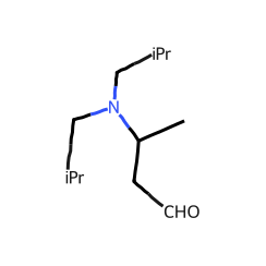 CC(C)CN(CC(C)C)C(C)CC=O